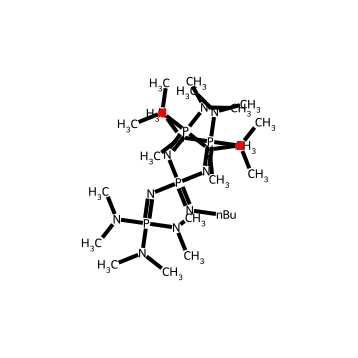 CCCCN=P(N=P(N(C)C)(N(C)C)N(C)C)(N=P(N(C)C)(N(C)C)N(C)C)N=P(N(C)C)(N(C)C)N(C)C